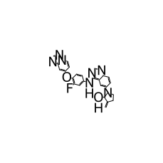 C=C1CCN(c2ccc3ncnc(Nc4ccc(Oc5ccn6ncnc6c5)c(F)c4)c3c2)C1O